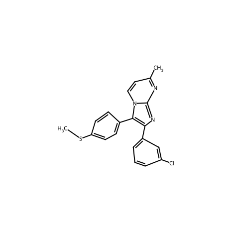 CSc1ccc(-c2c(-c3cccc(Cl)c3)nc3nc(C)ccn23)cc1